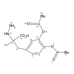 CC(C)(C)C(=O)Oc1ccc(CC(C)(NN)C(=O)O)cc1OC(=O)C(C)(C)C